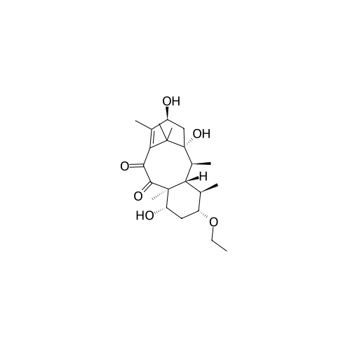 CCO[C@@H]1C[C@H](O)[C@@]2(C)C(=O)C(=O)C3=C(C)[C@@H](O)C[C@@](O)([C@@H](C)[C@@H]2[C@H]1C)C3(C)C